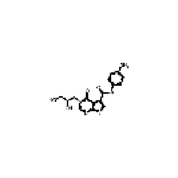 Nc1ccc(NC(=O)c2csc3ncn(CC(O)CO)c(=O)c23)cc1